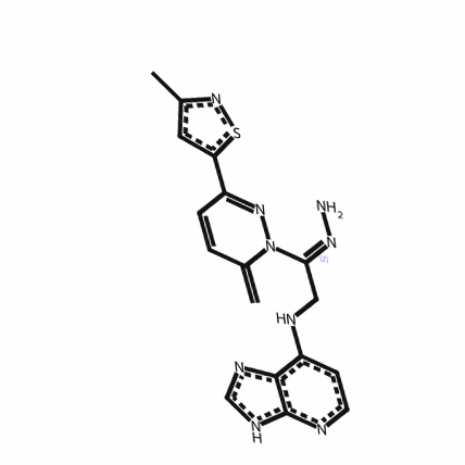 C=C1C=CC(c2cc(C)ns2)=NN1/C(CNc1ccnc2[nH]cnc12)=N\N